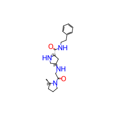 C[C@@H]1CCCN1C(=O)CN[C@H]1CN[C@H](C(=O)NCCc2ccccc2)C1